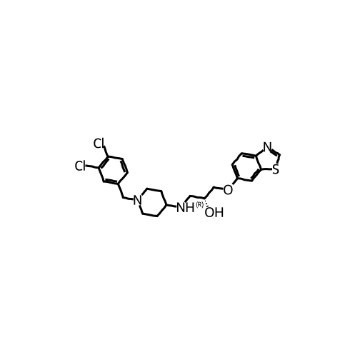 O[C@H](CNC1CCN(Cc2ccc(Cl)c(Cl)c2)CC1)COc1ccc2ncsc2c1